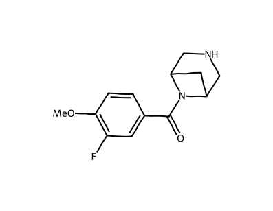 COc1ccc(C(=O)N2C3CNCC2C3)cc1F